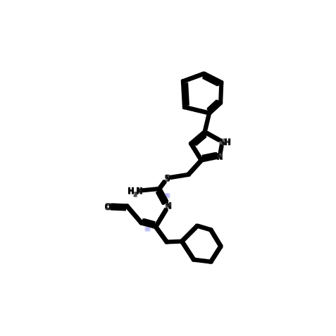 N/C(=N\C(=C/C=O)CC1CCCCC1)SCc1cc(-c2ccccc2)[nH]n1